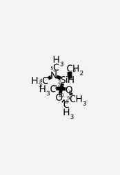 C=C[SiH](N(C)C)C(C)(OC)OC